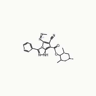 C/N=N\c1c(C#N)c(C(=O)OC2C(C)CC(C)CC2C)c2[nH]nc(-c3ccccc3)n12